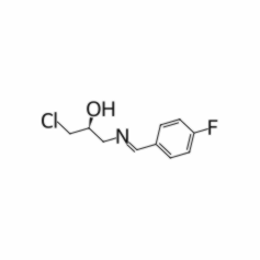 O[C@H](CCl)C/N=C/c1ccc(F)cc1